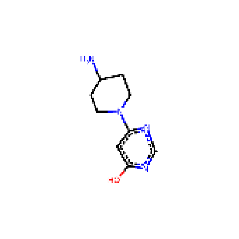 NC1CCN(c2cc(O)n[c]n2)CC1